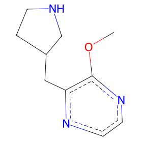 COc1nccnc1CC1CCNC1